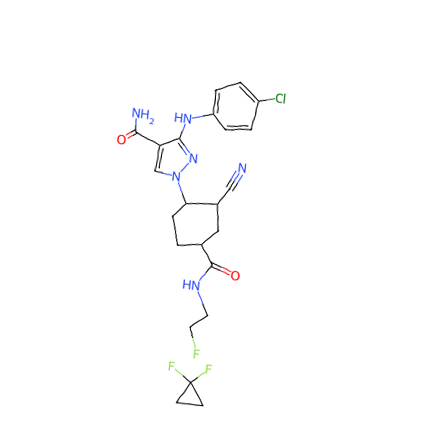 FC1(F)CC1.N#CC1CC(C(=O)NCCF)CCC1n1cc(C(N)=O)c(Nc2ccc(Cl)cc2)n1